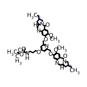 C/C=C1\C[C@H]2C=Nc3cc(OCc4cc(OCCCNC(=O)OC(C)(C)C)cc(COc5cc6c(cc5OC)C(=O)N5C/C(=C/C)C[C@H]5C=N6)n4)c(OC)cc3C(=O)N2C1